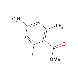 COC(=O)c1c(C)cc([N+](=O)[O-])cc1C(F)(F)F